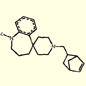 CC(=O)N1CCCC2(CCN(CC3CC4C=CC3C4)CC2)c2ccccc21